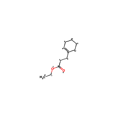 CCOC(=O)CCC1=CCCCC1